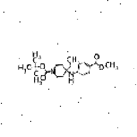 CCC1(Nc2ccc(C(=O)OC)cc2)CCN(C(=O)OC(C)(C)C)CC1